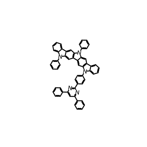 c1ccc(-c2cc(-c3ccccc3)nc(-c3ccc(-n4c5ccccc5c5cc6c(cc54)c4cc5c(cc4n6-c4ccccc4)c4ccccc4n5-c4ccccc4)cc3)n2)cc1